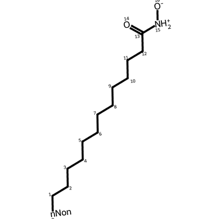 CCCCCCCCCCCCCCCCCCCCCC(=O)[NH2+][O-]